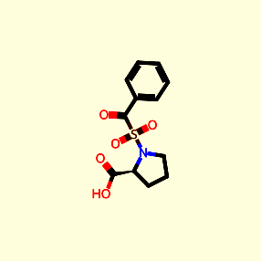 O=C(O)[C@@H]1CCCN1S(=O)(=O)C(=O)c1ccccc1